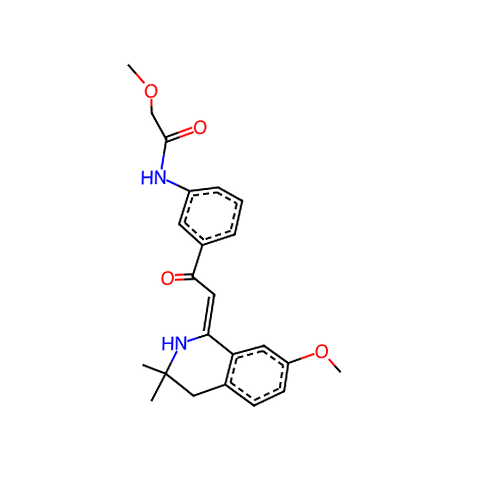 COCC(=O)Nc1cccc(C(=O)/C=C2\NC(C)(C)Cc3ccc(OC)cc32)c1